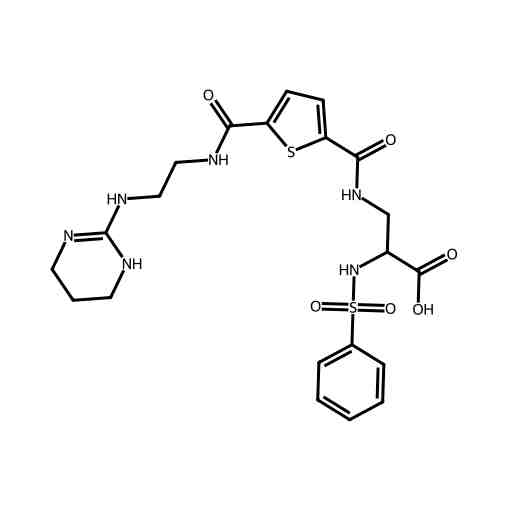 O=C(NCCNC1=NCCCN1)c1ccc(C(=O)NCC(NS(=O)(=O)c2ccccc2)C(=O)O)s1